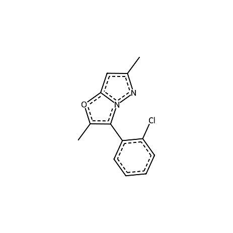 Cc1cc2oc(C)c(-c3ccccc3Cl)n2n1